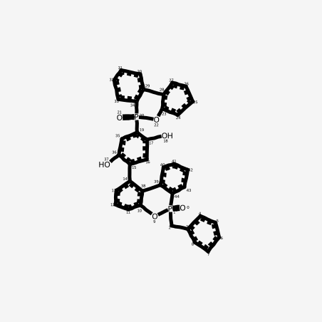 O=P1(Cc2ccccc2)Oc2cccc(-c3cc(O)c(P4(=O)Oc5ccccc5-c5ccccc54)cc3O)c2-c2ccccc21